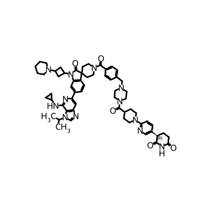 CC(C)n1cnc2cc(-c3ccc4c(c3)N(C3CC(N5CCCCC5)C3)C(=O)C43CCN(C(=O)c4ccc(CN5CCN(C(=O)C6CCN(c7ccc([C@H]8CCC(=O)NC8=O)cn7)CC6)CC5)cc4)CC3)nc(NC3CC3)c21